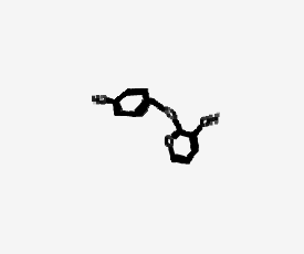 OC1=CC=COC1Oc1ccc(O)cc1